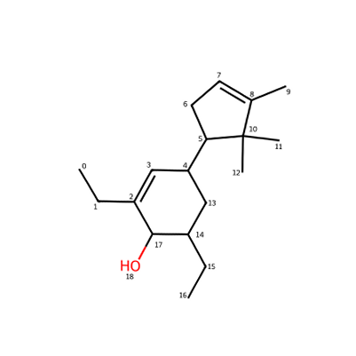 CCC1=CC(C2CC=C(C)C2(C)C)CC(CC)C1O